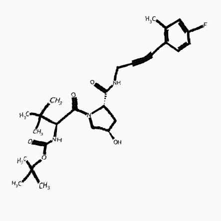 Cc1cc(F)ccc1C#CCNC(=O)[C@@H]1C[C@@H](O)CN1C(=O)[C@@H](NC(=O)OC(C)(C)C)C(C)(C)C